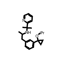 CC(Cc1cccc(C2(OC(C)C)CC2)c1)NC(C)(C)c1ccccn1